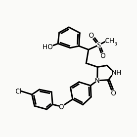 CS(=O)(=O)C(CC1CNC(=O)N1c1ccc(Oc2ccc(Cl)cc2)cc1)c1cccc(O)c1